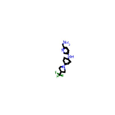 NCc1ccc(Nc2ccc(N3CCC(C(F)(F)F)CC3)cc2)cn1